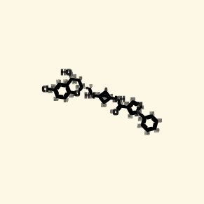 O=C(NC12CC(NC[C@H]3C[C@@H](O)c4cc(Cl)ccc4O3)(C1)C2)c1cnn(-c2ccccc2)c1